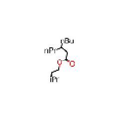 CCCCC(CCC)CC(=O)OCCC(C)C